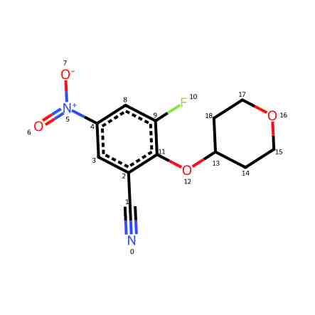 N#Cc1cc([N+](=O)[O-])cc(F)c1OC1CCOCC1